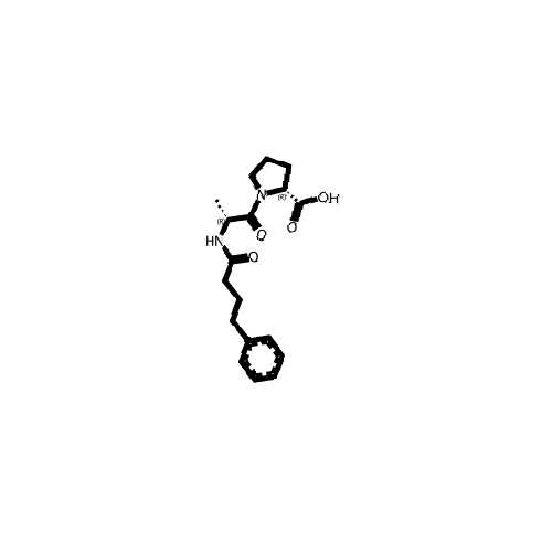 C[C@@H](NC(=O)CCCc1ccccc1)C(=O)N1CCC[C@@H]1C(=O)O